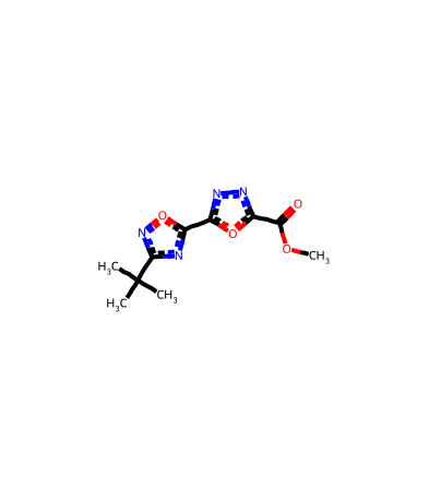 COC(=O)c1nnc(-c2nc(C(C)(C)C)no2)o1